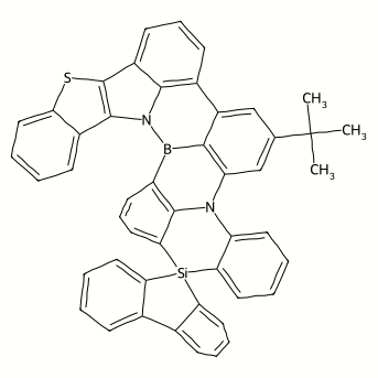 CC(C)(C)c1cc2c3c(c1)N1c4ccccc4[Si]4(c5ccccc5-c5ccccc54)c4cccc(c41)B3n1c3c-2cccc3c2sc3ccccc3c21